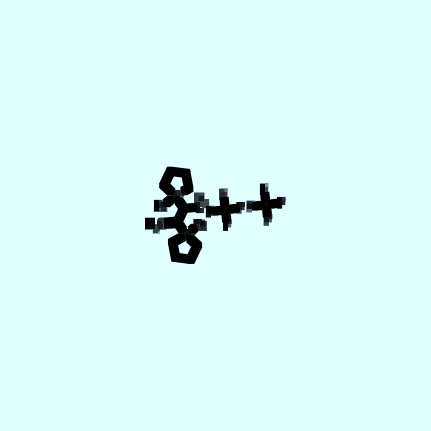 C=C(C(C)[N+]1(CC)CCCC1)[N+]1(CC)CCCC1.F[B-](F)(F)F.F[B-](F)(F)F